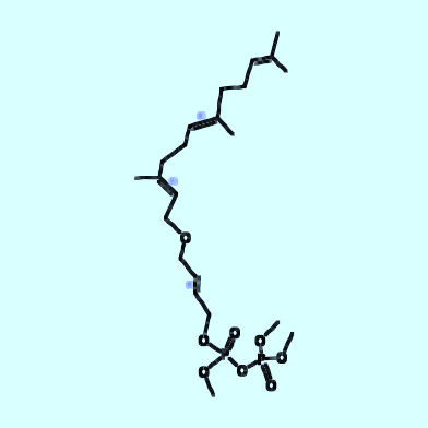 COP(=O)(OC)OP(=O)(OC)OC/C=C/COC/C=C(\C)CC/C=C(\C)CCC=C(C)C